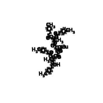 CC1CCC(CCC(=O)OCC(C)(COC(=O)CCC2CCC(C)CC2)COC(=O)CCN(CCC(=O)OCC(C)(COC(=O)CCC2CCC(C)CC2)COC(O)CCC2CCC(C)CC2)C(=O)OC(C)(C)C)CC1